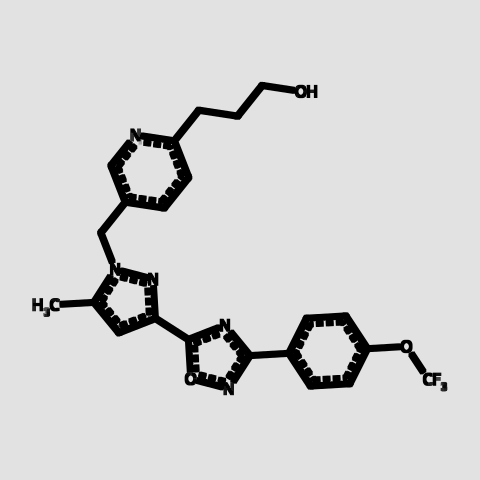 Cc1cc(-c2nc(-c3ccc(OC(F)(F)F)cc3)no2)nn1Cc1ccc(CCCO)nc1